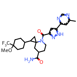 COC1(C(F)(F)F)CCC(C2CC23CC(C(N)=O)CCN3C(=O)c2cc(-c3cc(C)ncn3)[nH]n2)CC1